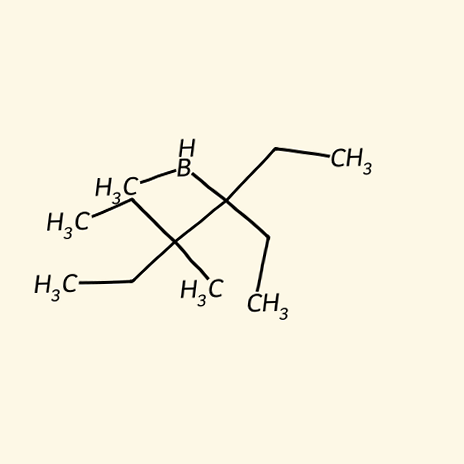 CBC(CC)(CC)C(C)(CC)CC